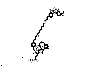 C[C@@H](OCc1ccc(CCCOCCCCCCCOCCCc2ccc3c(c2)n(C)c(=O)n3C2CCC(=O)NC2=O)cc1)[C@H](CCC(N)=O)NC(=O)[C@@H]1Cc2cccc3c2N1C(=O)CCC3